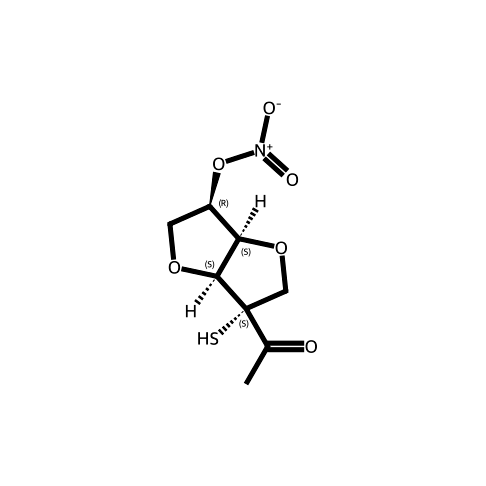 CC(=O)[C@]1(S)CO[C@@H]2[C@H](O[N+](=O)[O-])CO[C@@H]21